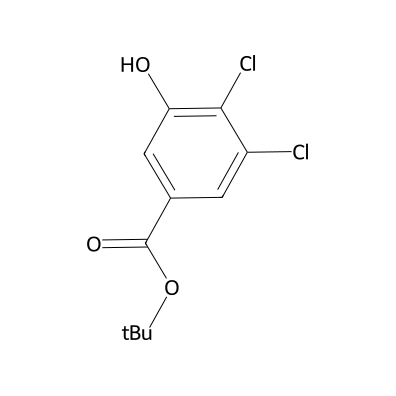 CC(C)(C)OC(=O)c1cc(O)c(Cl)c(Cl)c1